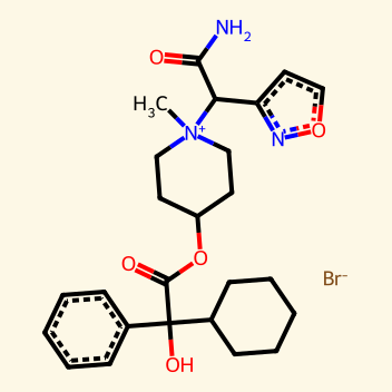 C[N+]1(C(C(N)=O)c2ccon2)CCC(OC(=O)C(O)(c2ccccc2)C2CCCCC2)CC1.[Br-]